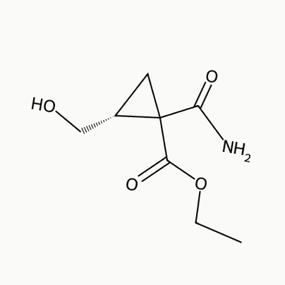 CCOC(=O)C1(C(N)=O)C[C@H]1CO